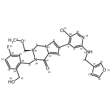 COC[C@H]1Cn2cc(-c3cc(NCc4cocn4)ncc3Cl)cc2C(=O)N1Cc1cc(F)ccc1CO